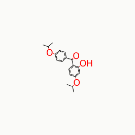 CC(C)Oc1ccc(C(=O)c2ccc(OC(C)C)cc2O)cc1